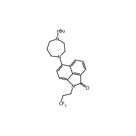 CCCCN1CCCN(c2ccc3c4c(cccc24)C(=O)N3CCC(F)(F)F)CC1